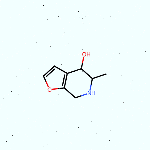 CC1NCc2occc2C1O